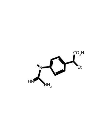 CCC(C(=O)O)c1ccc(N(C)C(=N)N)cc1